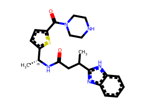 CC(CC(=O)N[C@H](C)c1ccc(C(=O)N2CCNCC2)s1)c1nc2ccccc2[nH]1